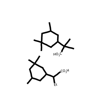 CC1CC(C(C)(C)C(=O)O)CC(C)(C)C1.CCC(C(=O)O)C1CC(C)CC(C)(C)C1